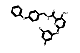 COc1ccc(Nc2cc(F)cc(F)c2)nc1C(=O)NCc1ccc(Oc2ccccc2)cc1